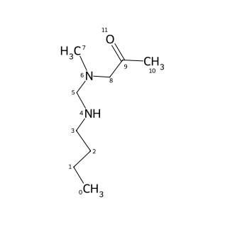 CCCCNCN(C)CC(C)=O